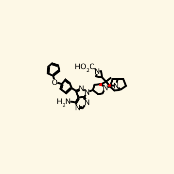 CC(C)(CN1C2CCC1CC(N1CCC(n3nc(-c4ccc(Oc5ccccc5)cc4)c4c(N)ncnc43)CC1)C2)C1CN(C(=O)O)C1